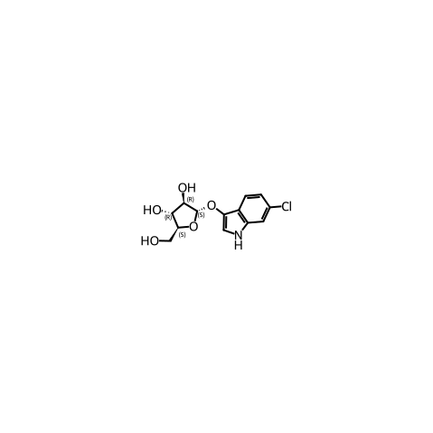 OC[C@@H]1O[C@@H](Oc2c[nH]c3cc(Cl)ccc23)[C@H](O)[C@H]1O